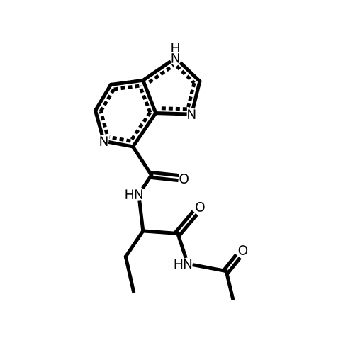 CCC(NC(=O)c1nccc2[nH]cnc12)C(=O)NC(C)=O